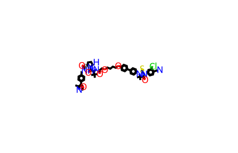 Cc1ncoc1-c1ccc(CNC(=O)[C@@H]2CCCN2C(=O)C(NC(=O)COCCCCOc2ccc(-c3ccc(N4C(=S)N(c5ccc(C#N)c(Cl)c5)C(=O)C4(C)C)cc3)cc2)C(C)(C)C)cc1